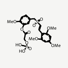 COc1cc(OC)c(C=CS(=O)(=O)Cc2ccc(OC)c(OC(=O)COP(=O)(O)O)c2)c(OC)c1